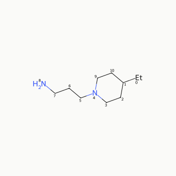 CCC1CCN(CCCN)CC1